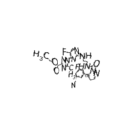 CCOC(=O)c1nc(C)n(-c2nc(NCCNC(=O)N3N=CC[C@H]3c3cc(F)cc(C#N)c3)ncc2F)n1